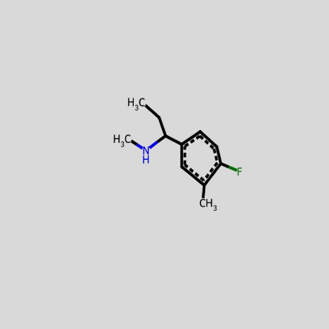 CCC(NC)c1ccc(F)c(C)c1